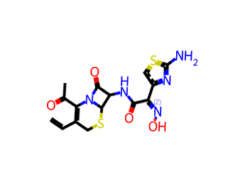 C=CC1=C(C(C)=O)N2C(=O)C(NC(=O)/C(=N\O)c3csc(N)n3)C2SC1